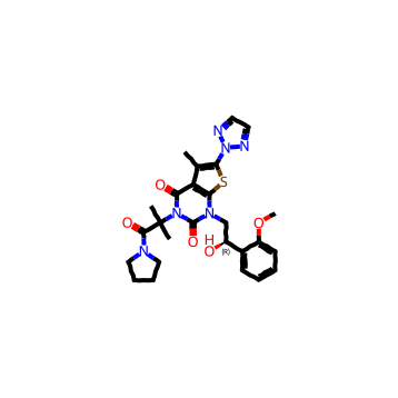 COc1ccccc1[C@@H](O)Cn1c(=O)n(C(C)(C)C(=O)N2CCCC2)c(=O)c2c(C)c(-n3nccn3)sc21